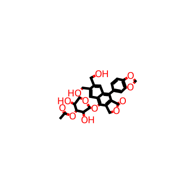 CC(=O)OC1C(O)COC(Oc2c3c(c(-c4ccc5c(c4)OCO5)c4cc(CO)c(CO)cc24)C(=O)OC3)C1O